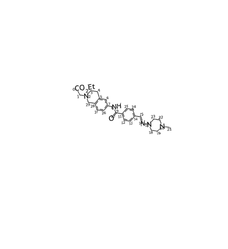 CCOC(=O)CN1CCc2cc(NC(=O)c3ccc(/C=N/N4CCN(C)CC4)cc3)ccc2C1